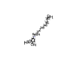 O=C(/C=C/c1ccc(O)c(O)c1)NCCCCCCCCCCCCO